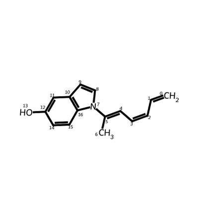 C=C/C=C\C=C(/C)n1ccc2cc(O)ccc21